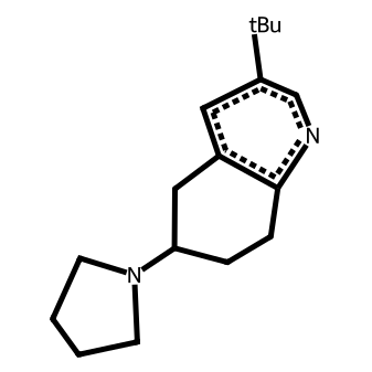 CC(C)(C)c1cnc2c(c1)CC(N1CCCC1)CC2